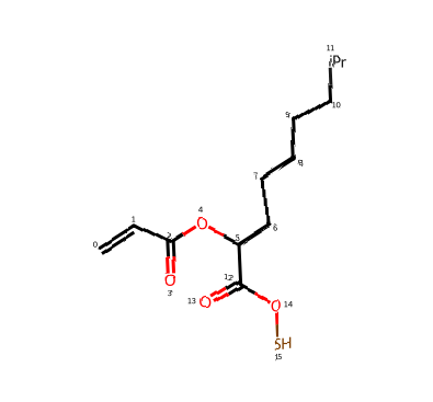 C=CC(=O)OC(CCCCCC(C)C)C(=O)OS